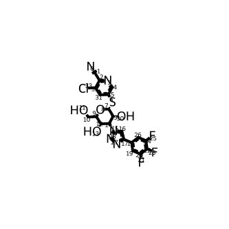 N#Cc1ncc(S[C@H]2OC(CO)[C@H](O)C(n3cc(-c4cc(F)c(F)c(F)c4)nn3)[C@H]2O)cc1Cl